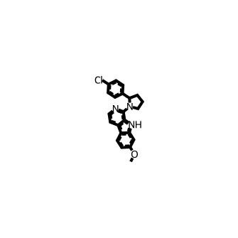 COc1ccc2c(c1)[nH]c1c(N3CCCC3c3ccc(Cl)cc3)nccc12